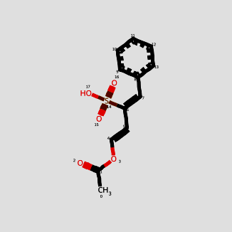 CC(=O)OC=CC(=Cc1ccccc1)S(=O)(=O)O